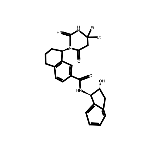 CCC1(CC)CC(=O)N([C@@H]2CCCc3ccc(C(=O)N[C@@H]4c5ccccc5C[C@H]4O)cc32)C(=N)N1